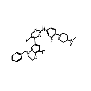 CN(C)C1CCN(c2ccc(Nc3ncc(F)c(-c4cc(F)c5c(c4)N(Cc4ccccc4)CCO5)n3)cc2F)CC1